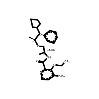 COc1ccnc(C(=O)N[C@](C)(C=O)CO[C@@H](C)[C@@H](c2ccccc2)C2CCCC2)c1OCOC(C)=O